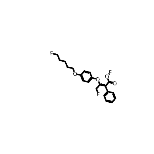 O=C(OF)C(=C(CF)Oc1ccc(OCCCCCF)cc1)c1ccccc1